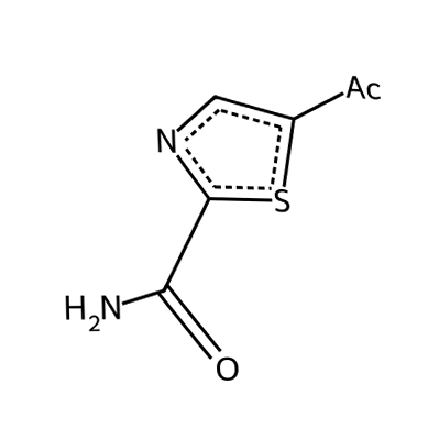 [CH2]C(=O)c1cnc(C(N)=O)s1